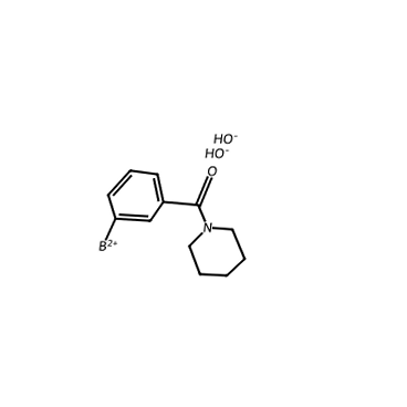 [B+2]c1cccc(C(=O)N2CCCCC2)c1.[OH-].[OH-]